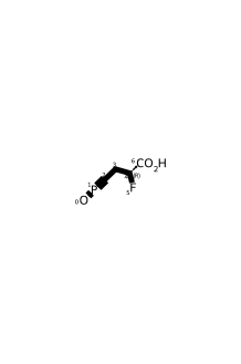 O=P#CC[C@@H](F)C(=O)O